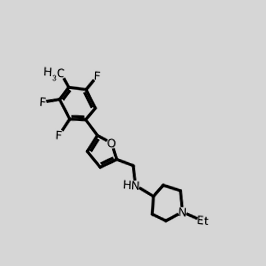 CCN1CCC(NCc2ccc(-c3cc(F)c(C)c(F)c3F)o2)CC1